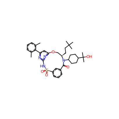 Cc1cccc(C)c1-c1cc2nc(n1)NS(=O)(=O)c1cccc(c1)C(=O)N(C1CCC(C(C)(C)O)CC1)[C@H](CCC(C)(C)C)CO2